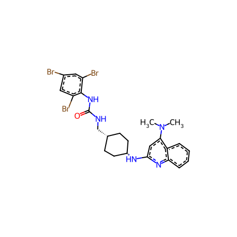 CN(C)c1cc(N[C@H]2CC[C@@H](CNC(=O)Nc3c(Br)cc(Br)cc3Br)CC2)nc2ccccc12